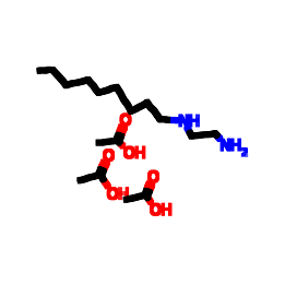 CC(=O)O.CC(=O)O.CC(=O)O.CCCCCCCCCNCCN